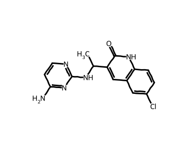 CC(Nc1nccc(N)n1)c1cc2cc(Cl)ccc2[nH]c1=O